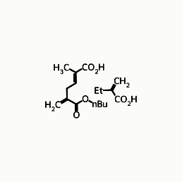 C=C(CC)C(=O)O.C=C(CC=C(C)C(=O)O)C(=O)OCCCC